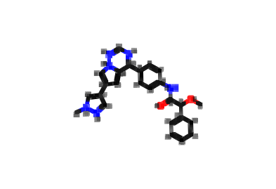 COC(C(=O)Nc1ccc(-c2ncnn3cc(-c4cnn(C)c4)cc23)cc1)c1ccccc1